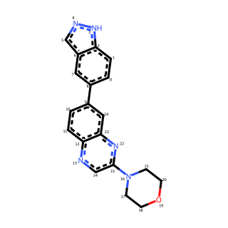 c1cc2[nH]ncc2cc1-c1ccc2ncc(N3CCOCC3)nc2c1